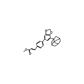 COC(=O)/C=C/c1ccc(-c2cc3c(c(C45CC6CC(CC(C6)C4)C5)c2)OCO3)cc1